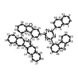 c1ccc2cc(-c3nc(-c4cc(-n5c6cc7ccccc7cc6c6cc7ccccc7cc65)c5c(c4)oc4ccccc45)nc(-c4cccc5sc6ccccc6c45)n3)ccc2c1